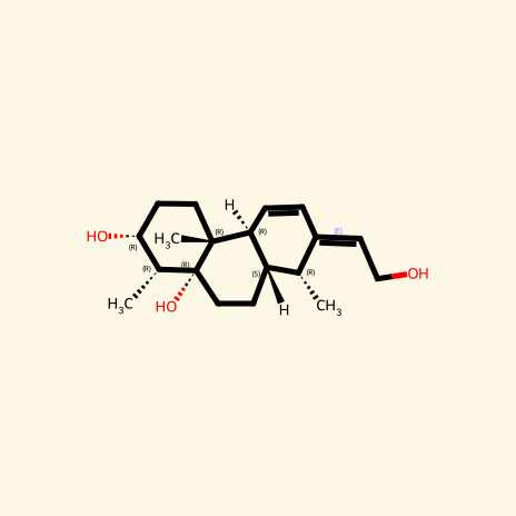 C[C@@H]1[C@H](O)CC[C@]2(C)[C@H]3C=C/C(=C/CO)[C@H](C)[C@@H]3CC[C@@]12O